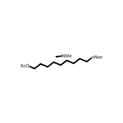 CCCCCCCCCCCCCCCCCCOC(C)=O.CNC